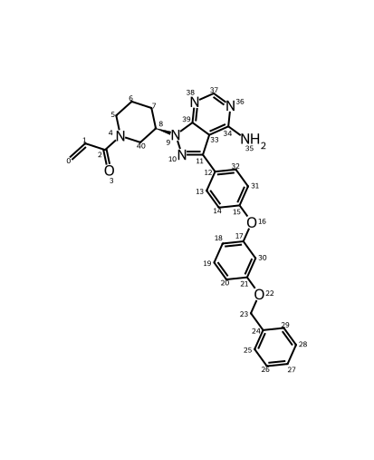 C=CC(=O)N1CCC[C@@H](n2nc(-c3ccc(Oc4cccc(OCc5ccccc5)c4)cc3)c3c(N)ncnc32)C1